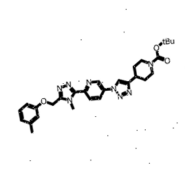 Cc1cccc(OCc2nnc(-c3ccc(-n4cc(C5CCN(C(=O)OC(C)(C)C)CC5)nn4)cn3)n2C)c1